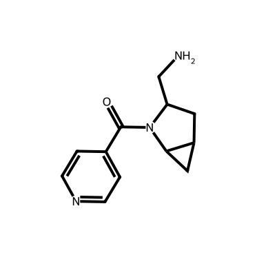 NCC1CC2CC2N1C(=O)c1ccncc1